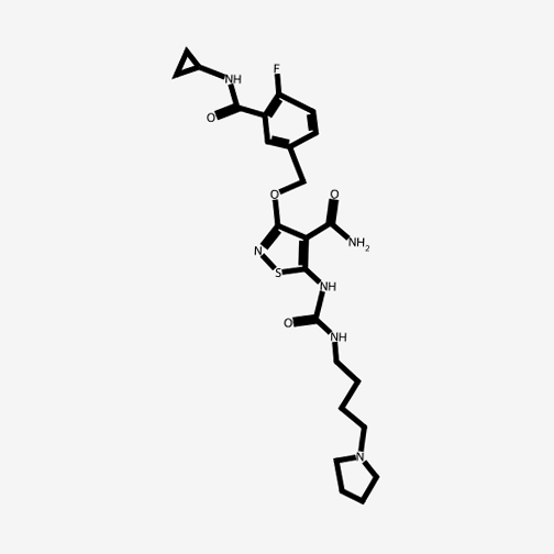 NC(=O)c1c(OCc2ccc(F)c(C(=O)NC3CC3)c2)nsc1NC(=O)NCCCCN1CCCC1